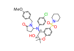 COc1ccc(CN2C(=O)CCC2N(c2ccc(Cl)cc2)[C@H]2c3cc(S(=O)(=O)N4CCCCC4)ccc3OC(C)(C)[C@@H]2O)cc1